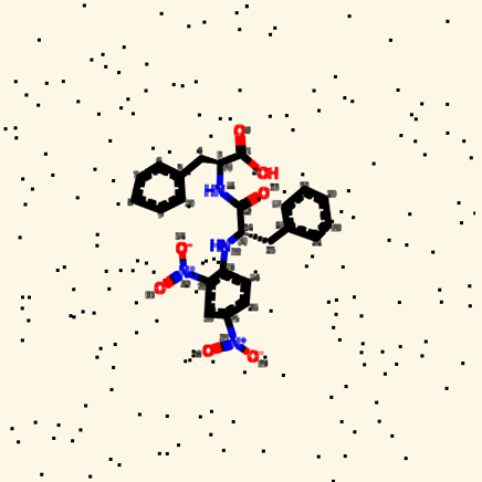 O=C(O)[C@H](Cc1ccccc1)NC(=O)[C@H](Cc1ccccc1)Nc1ccc([N+](=O)[O-])cc1[N+](=O)[O-]